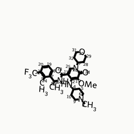 COc1c(NC2CCN(C)CC2)c(C(=O)N[C@H](C)c2cccc(C(F)(F)F)c2C)cn(C2CCOCC2)c1=O